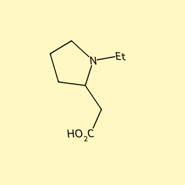 CCN1CCCC1CC(=O)O